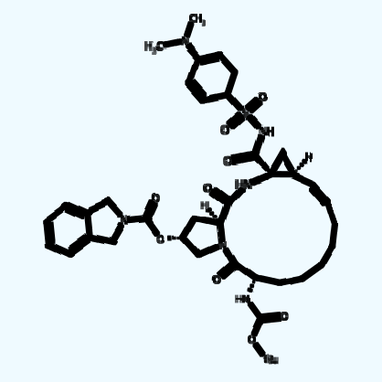 CN(C)C1=CCC(S(=O)(=O)NC(=O)[C@@]23C[C@H]2/C=C\CCCCC[C@H](NC(=O)OC(C)(C)C)C(=O)N2C[C@H](OC(=O)N4Cc5ccccc5C4)C[C@H]2C(=O)N3)C=C1